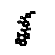 O=C(Nc1ccc(C(=O)N2CC(O)C2)c(Cl)c1)c1snc(-c2cccc3ncsc23)c1C1CC1